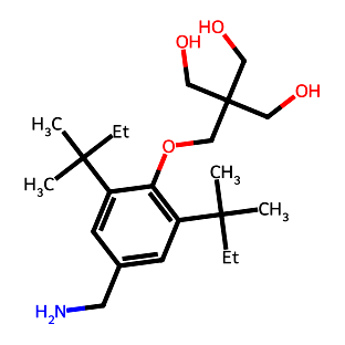 CCC(C)(C)c1cc(CN)cc(C(C)(C)CC)c1OCC(CO)(CO)CO